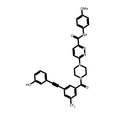 COc1ccc(NC(=O)c2ccc(N3CCN(C(=O)c4cc(C#Cc5cccc(O)c5)cc(C(F)(F)F)c4)CC3)nn2)cc1